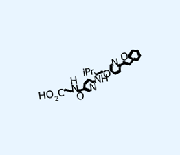 CC(C)[C@@H](COc1ccc(-c2cc3ccccc3o2)nc1)Nc1ccc(C(=O)NCCC(=O)O)cn1